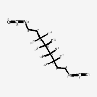 O=C=NCCC(F)(F)C(F)(F)C(F)(F)C(F)(F)CCN=C=O